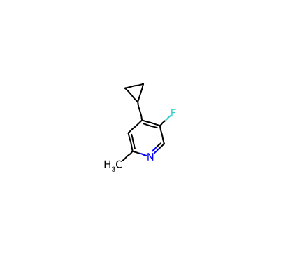 Cc1cc(C2CC2)c(F)cn1